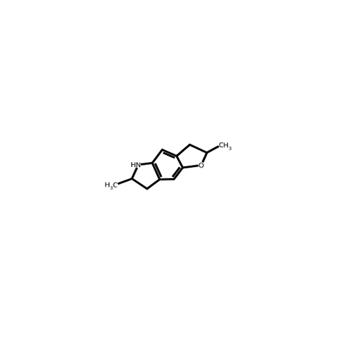 CC1Cc2cc3c(cc2N1)CC(C)O3